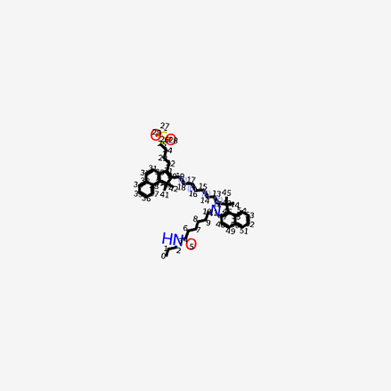 CCCNC(=O)CCCCCN1\C(=C/C=C/C=C/C=C/C2=C(CCCCS(C)(=O)=O)c3ccc4ccccc4c3C2(C)C)C(C)(C)c2c1ccc1ccccc21